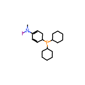 CN(I)C1=CCC(P(C2CCCCC2)C2CCCCC2)C=C1